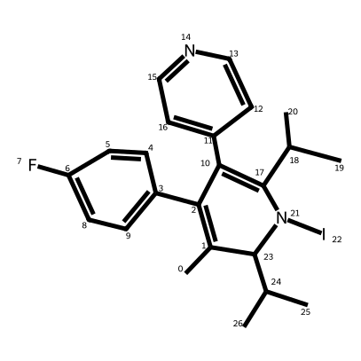 CC1=C(c2ccc(F)cc2)C(c2ccncc2)=C(C(C)C)N(I)C1C(C)C